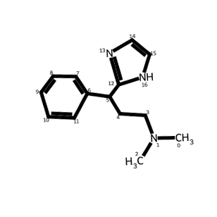 CN(C)CCC(c1ccccc1)c1ncc[nH]1